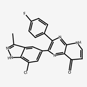 Cc1n[nH]c2c(Cl)cc(-c3nc4c(=O)cc[nH]c4nc3-c3ccc(F)cc3)cc12